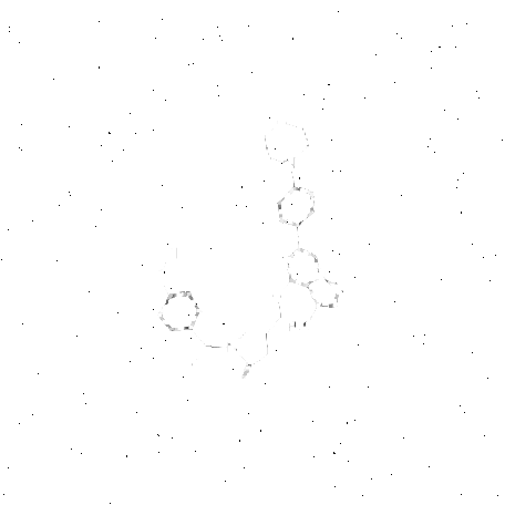 COc1ccc([C@@H](C)N2C[C@H]([C@@H](C)Oc3nc(-c4ccc(N5CCOCC5)cc4)cn4ncc(C)c34)CC2=O)cc1